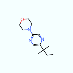 CCC(C)(C)c1cnc(N2CCOCC2)cn1